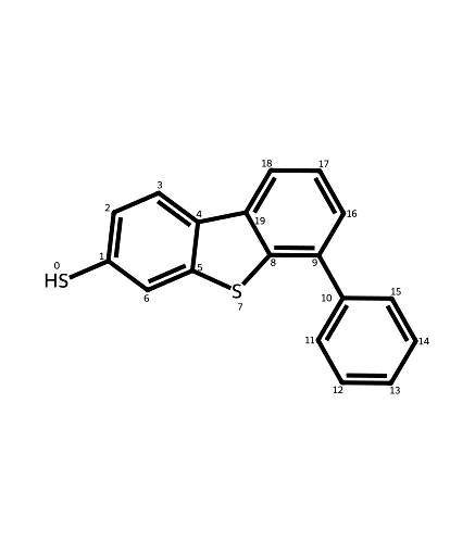 Sc1ccc2c(c1)sc1c(-c3ccccc3)cccc12